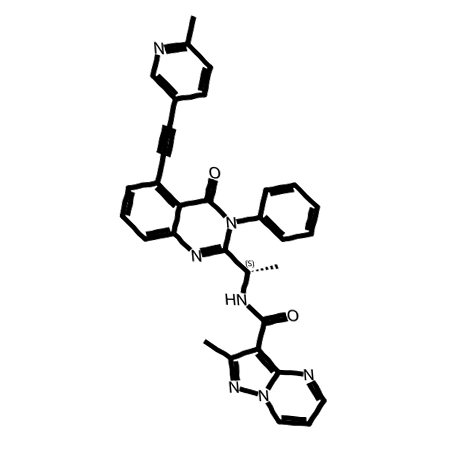 Cc1ccc(C#Cc2cccc3nc([C@H](C)NC(=O)c4c(C)nn5cccnc45)n(-c4ccccc4)c(=O)c23)cn1